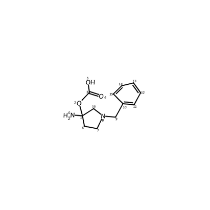 NC1(OC(=O)O)CCN(Cc2ccccc2)C1